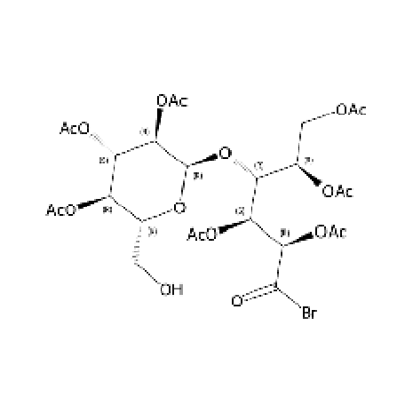 CC(=O)OC[C@@H](OC(C)=O)[C@@H](O[C@H]1O[C@H](CO)[C@@H](OC(C)=O)[C@H](OC(C)=O)[C@H]1OC(C)=O)[C@H](OC(C)=O)[C@@H](OC(C)=O)C(=O)Br